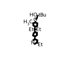 CCc1cncc(-c2ccc(C(CC)(CC)c3ccc(OCC(O)C(C)(C)C)c(C)c3)cc2)c1